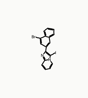 Brc1cc(-c2nc3ccccn3c2I)cc2ccccc12